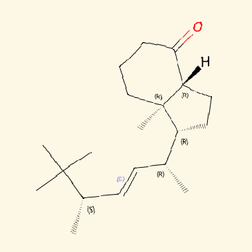 C[C@H](/C=C/[C@H](C)C(C)(C)C)[C@H]1CC[C@H]2C(=O)CCC[C@]12C